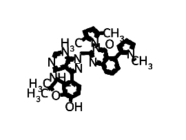 Cc1ccc(C)n1-n1c(Cn2nc(-c3ccc(O)c4c3CC(C)(C)O4)c3c(N)ncnc32)nc2cccc(-c3cccn3C)c2c1=O